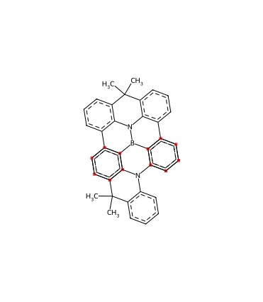 CC1(C)c2cccc(-c3ccccc3)c2N(B2c3ccccc3N3c4ccccc4C(C)(C)c4cccc2c43)c2c(-c3ccccc3)cccc21